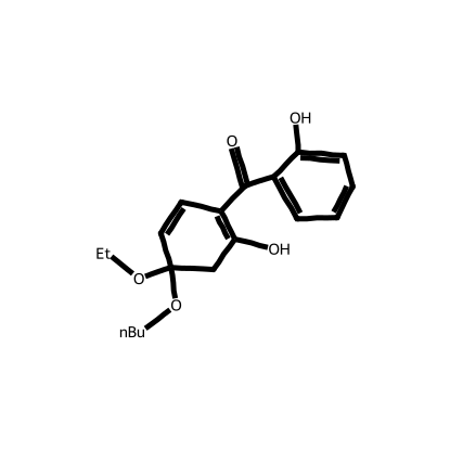 CCCCOC1(OCC)C=CC(C(=O)c2ccccc2O)=C(O)C1